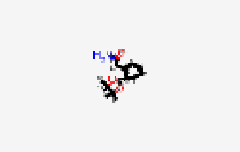 CC1(C)OB(c2ccccc2CC(N)=O)OC1(C)C